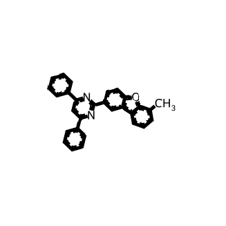 Cc1cccc2c1oc1ccc(-c3nc(-c4ccccc4)cc(-c4ccccc4)n3)cc12